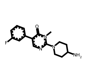 Cn1c(N2CCC(N)CC2)ncc(-c2cccc(F)c2)c1=O